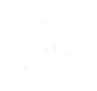 CCNc1cn(-c2cncc(F)c2)nc1Cl.N